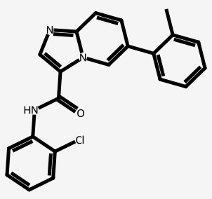 Cc1ccccc1-c1ccc2ncc(C(=O)Nc3ccccc3Cl)n2c1